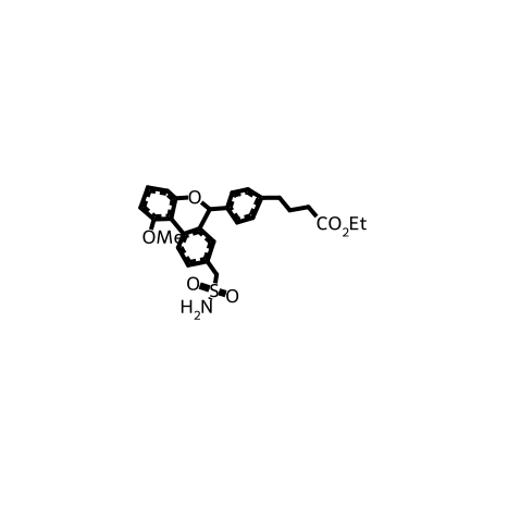 CCOC(=O)CCCc1ccc(C2Oc3cccc(OC)c3-c3ccc(CS(N)(=O)=O)cc32)cc1